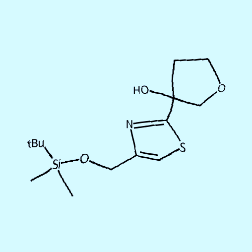 CC(C)(C)[Si](C)(C)OCc1csc(C2(O)CCOC2)n1